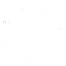 CC/C(=C\C(=O)[O-])C(=O)[O-].[Ca+2]